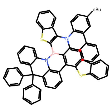 CCCCc1ccc(N2c3cc4c(sc5ccccc54)c4c3B(c3sc5ccccc5c32)N2c3ccccc3C(c3ccccc3)(c3ccccc3)c3cccc-4c32)c(-c2ccccc2)c1